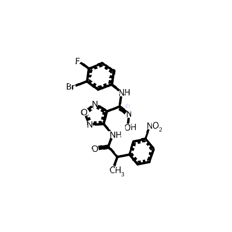 CC(C(=O)Nc1nonc1/C(=N\O)Nc1ccc(F)c(Br)c1)c1cccc([N+](=O)[O-])c1